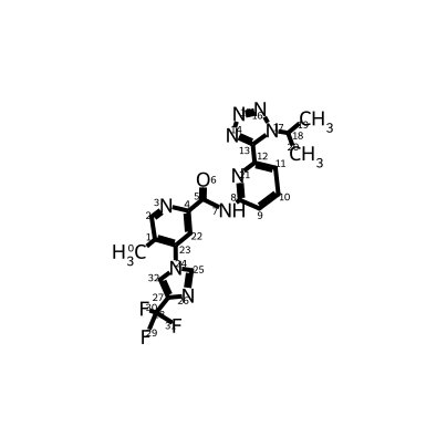 Cc1cnc(C(=O)Nc2cccc(-c3nnnn3C(C)C)n2)cc1-n1cnc(C(F)(F)F)c1